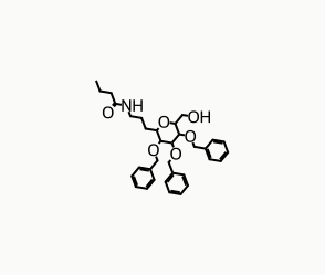 CCCC(=O)NCCCC1OC(CO)C(OCc2ccccc2)C(OCc2ccccc2)C1OCc1ccccc1